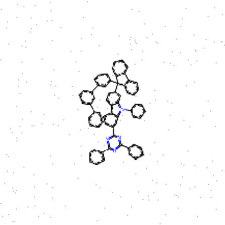 c1ccc(-c2cccc(-c3cccc(C4(c5ccc6c7ccc(-c8nc(-c9ccccc9)nc(-c9ccccc9)n8)cc7n(-c7ccccc7)c6c5)c5ccccc5-c5ccccc54)c3)c2)cc1